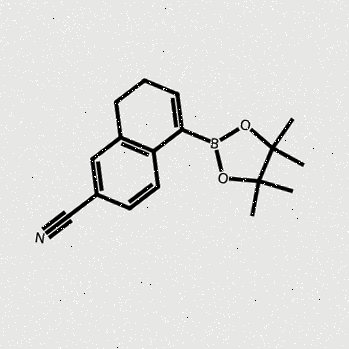 CC1(C)OB(C2=CCCc3cc(C#N)ccc32)OC1(C)C